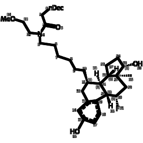 CCCCCCCCCCCC(=O)N(CCCCCC[C@@H]1Cc2cc(O)ccc2[C@@H]2[C@@H]1[C@@H]1CC[C@H](O)[C@@]1(C)C[C@@H]2F)CCOC